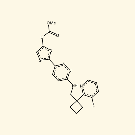 COC(=O)Oc1csc(-c2ccc(NCC3(c4ncccc4F)CCC3)nn2)n1